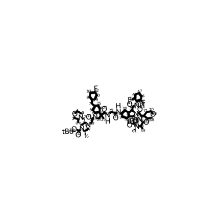 CC1COCCN1C[C@H]1CN(C(=O)OC(C)(C)C)[C@H](C)CN1CC(=O)N1CC(C)(C(=O)NCC(=O)Nc2ccc3c(c2)C(C(=O)Nc2c(F)cccc2F)N(C(=O)C(NC(=O)C(C)N(C)C(=O)OC(C)(C)C)C2CCOCC2)C3)c2ccc(Cc3ccc(F)cc3)cc21